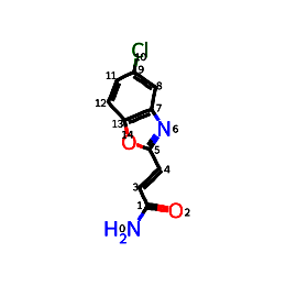 NC(=O)C=Cc1nc2cc(Cl)ccc2o1